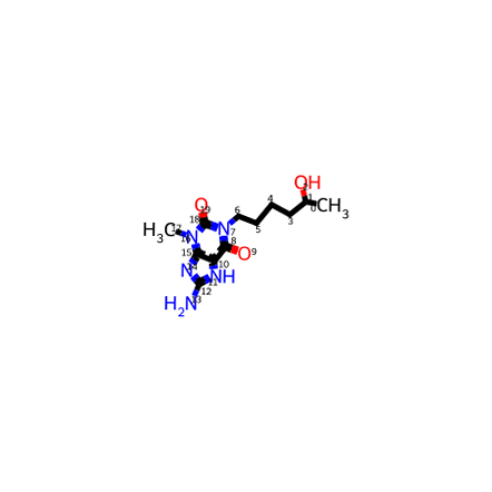 CC(O)CCCCn1c(=O)c2[nH]c(N)nc2n(C)c1=O